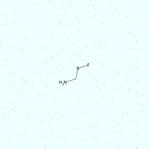 NC[B]F